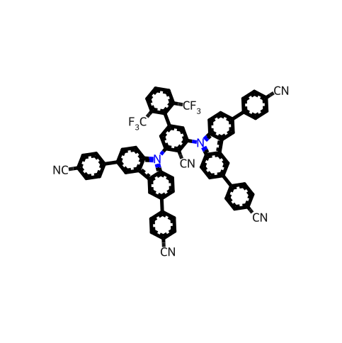 N#Cc1ccc(-c2ccc3c(c2)c2cc(-c4ccc(C#N)cc4)ccc2n3-c2cc(-c3c(C(F)(F)F)cccc3C(F)(F)F)cc(-n3c4ccc(-c5ccc(C#N)cc5)cc4c4cc(-c5ccc(C#N)cc5)ccc43)c2C#N)cc1